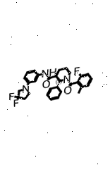 Cc1cccc(F)c1C(=O)N1CCCC(C(=O)Nc2cccc(N3CCC(F)(F)C3)c2)[C@@H]1C1C=CC=CC1